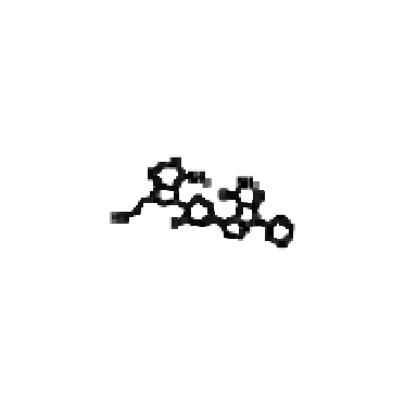 NC(=O)c1c2n(n(-c3ccccc3)c1=O)CCC2c1ccc(-c2cn(CCO)c3ncnc(N)c23)c(F)c1